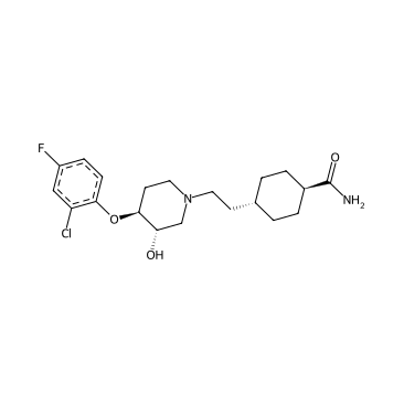 NC(=O)[C@H]1CC[C@H](CCN2CC[C@H](Oc3ccc(F)cc3Cl)[C@@H](O)C2)CC1